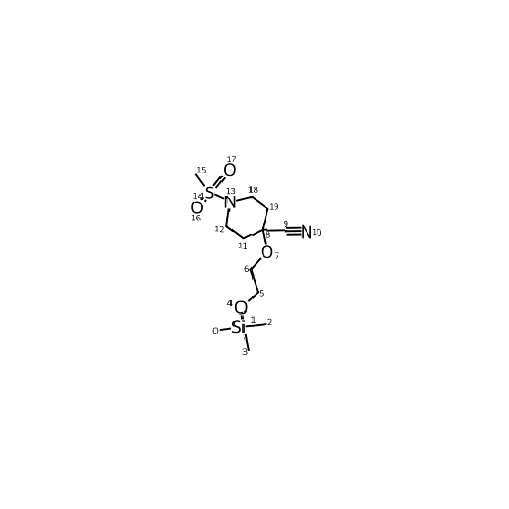 C[Si](C)(C)OCCOC1(C#N)CCN(S(C)(=O)=O)CC1